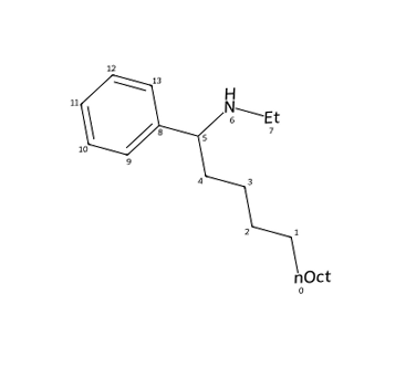 CCCCCCCCCCCCC(NCC)c1ccccc1